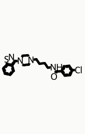 O=C(NCCCCN1CCN(c2nsc3ccccc23)CC1)c1ccc(Cl)cc1